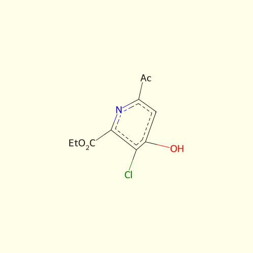 CCOC(=O)c1nc(C(C)=O)cc(O)c1Cl